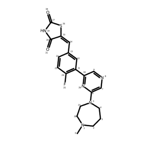 CN1CCCN(c2cncc(-c3cc(/C=C4/SC(=O)NC4=O)ccc3F)n2)CC1